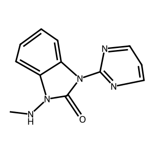 CNn1c(=O)n(-c2ncccn2)c2ccccc21